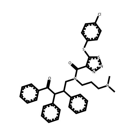 CN(C)CCCN(CC(c1ccccc1)C(C(=O)c1ccccc1)c1ccccc1)C(=O)c1nnsc1Sc1ccc(Cl)cc1